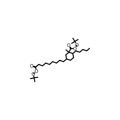 CCCCCC1CCC(CCCCCCCCC(=O)OOC(C)(C)C)CC1(C)C(=O)OOC(C)(C)C